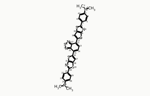 CN(C)c1ccc(-c2nc3sc(-c4ccc(-c5cc6sc(-c7ccc(N(C)C)cc7)nc6s5)c5nsnc45)cc3s2)cc1